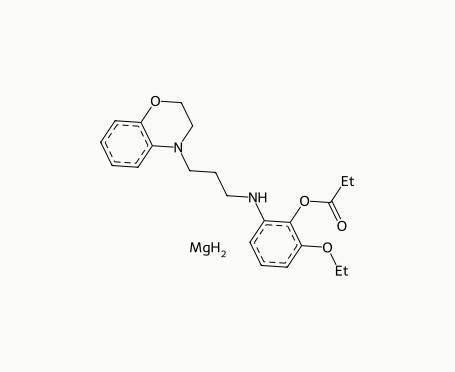 CCOc1cccc(NCCCN2CCOc3ccccc32)c1OC(=O)CC.[MgH2]